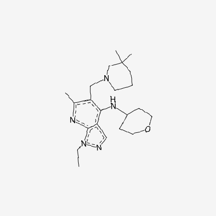 CCn1ncc2c(NC3CCOCC3)c(CN3CCCC(C)(C)C3)c(C)nc21